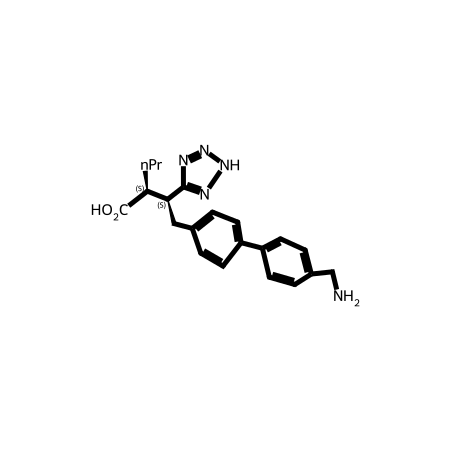 CCC[C@H](C(=O)O)[C@H](Cc1ccc(-c2ccc(CN)cc2)cc1)c1nn[nH]n1